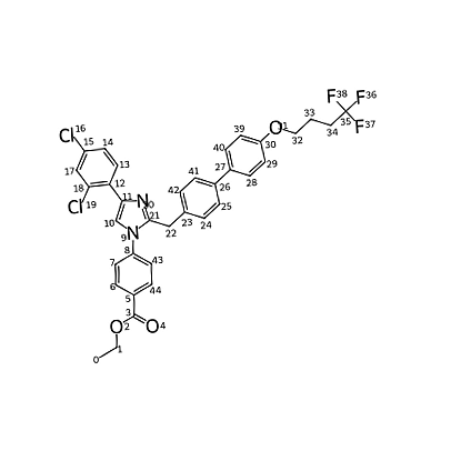 CCOC(=O)c1ccc(-n2cc(-c3ccc(Cl)cc3Cl)nc2Cc2ccc(-c3ccc(OCCCC(F)(F)F)cc3)cc2)cc1